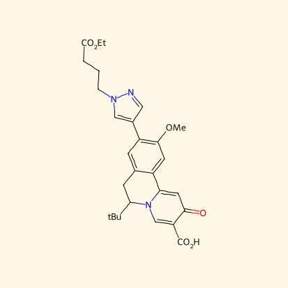 CCOC(=O)CCCn1cc(-c2cc3c(cc2OC)-c2cc(=O)c(C(=O)O)cn2C(C(C)(C)C)C3)cn1